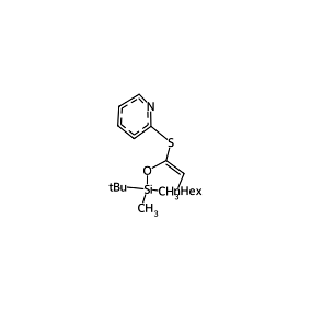 CCCCCCC=C(O[Si](C)(C)C(C)(C)C)Sc1ccccn1